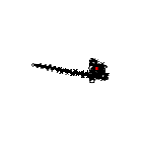 CCCCCCCCCCCCCCCCCCCCCCOC(=O)[C@H](Cc1ccccc1)N(C[C@]1(C)CCCO1)P(=O)(O)Oc1ccccc1